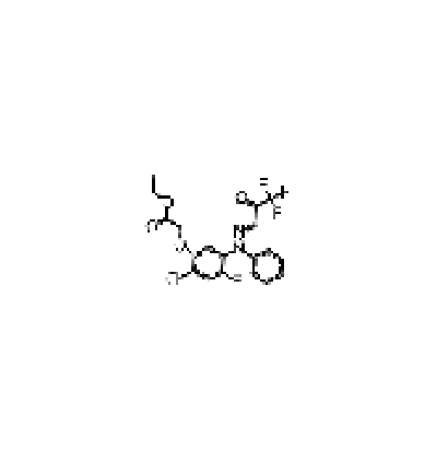 CCOC(=O)COc1cc(N(/N=C/C(=O)C(F)(F)F)c2ccccc2)c(F)cc1Cl